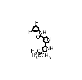 CC(C)(C)[C@@H]1CNC(c2cncc(C(=O)Nc3cc(F)cc(F)c3)c2)C1